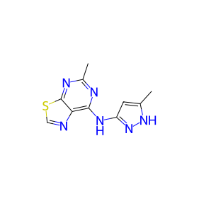 Cc1nc(Nc2cc(C)[nH]n2)c2ncsc2n1